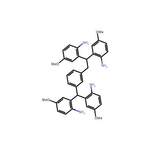 COc1ccc(N)c(C(Cc2cccc(C(c3cc(OC)ccc3N)c3cc(OC)ccc3N)c2)c2cc(OC)ccc2N)c1